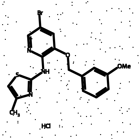 COc1cccc(COc2cc(Br)cnc2Nc2nc(C)cs2)c1.Cl